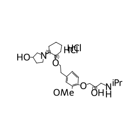 COc1cc(CCO[C@@H]2CCCC[C@@H]2N2CCC(O)C2)ccc1OC[C@@H](O)CNC(C)C.Cl.Cl